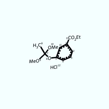 CCOC(=O)c1cccc(OC(C)(OC)OC)c1.Cl